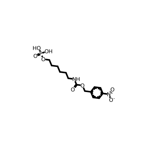 O=C(NCCCCCCOP(=O)(O)O)OCc1ccc([N+](=O)[O-])cc1